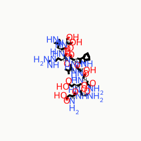 CC(C)[C@H](NC(=O)[C@H](CO)NC(=O)[C@H](CCC(N)=O)NC(=O)[C@H](CCC(=O)O)NC(=O)[C@H](CC(N)=O)NC(=O)[C@@H](N)CC(=O)O)C(=O)N[C@@H](Cc1c[nH]c2ccccc12)C(=O)N[C@@H](CCCNC(=N)N)C(=O)N[C@@H](Cc1c[nH]cn1)C(=O)N[C@@H](CO)C(=O)O